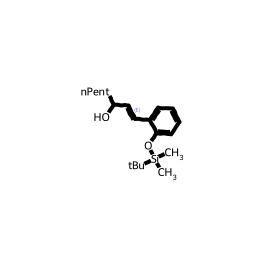 CCCCCC(O)/C=C/c1ccccc1O[Si](C)(C)C(C)(C)C